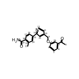 CC(=O)c1cccc(OCc2ccnc(-c3ccc(C(N)=O)c(C)c3)c2)c1